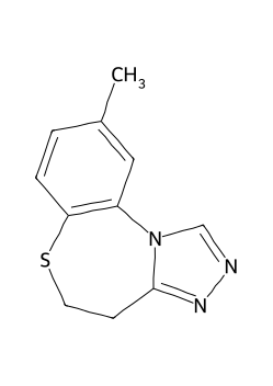 Cc1ccc2c(c1)-n1cnnc1CCS2